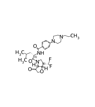 CCCN1CCN(c2ccc(C(=O)N[C@@H](CC(C)C)C(=O)N3C[C@H](C(F)F)[C@H]4OCC(=O)[C@H]43)cc2)CC1